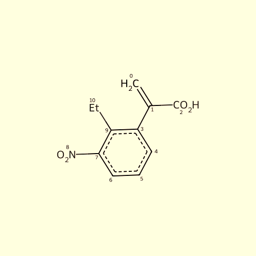 C=C(C(=O)O)c1cccc([N+](=O)[O-])c1CC